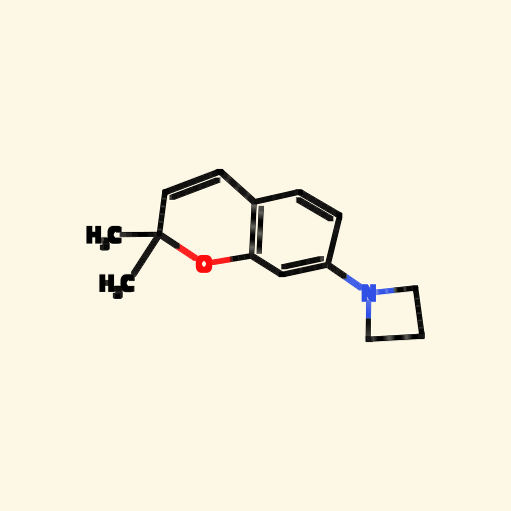 CC1(C)C=Cc2ccc(N3CCC3)cc2O1